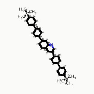 C[Si](C)(C)c1ccc(-c2ccc(-c3cnc4cc(-c5ccc(-c6ccc([Si](C)(C)C)cc6)cc5)ccc4c3)cc2)cc1